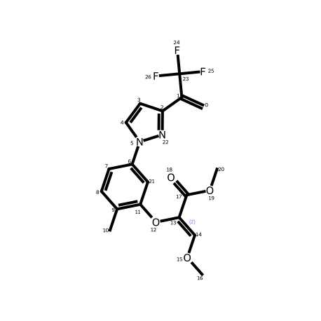 C=C(c1ccn(-c2ccc(C)c(O/C(=C\OC)C(=O)OC)c2)n1)C(F)(F)F